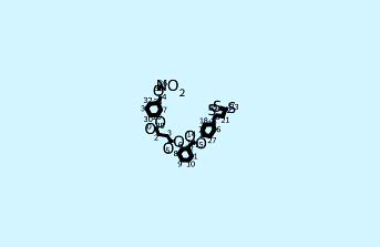 O=C(CCC(=O)Oc1ccccc1C(=O)Oc1ccc(-c2cc(=S)ss2)cc1)Oc1cccc(CO[N+](=O)[O-])c1